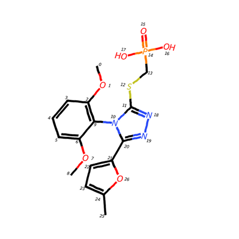 COc1cccc(OC)c1-n1c(SCP(=O)(O)O)nnc1-c1ccc(C)o1